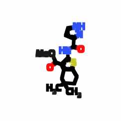 COC(=O)c1c(NC(=O)c2cc[nH]n2)sc2c1CC(C)(C)CC2